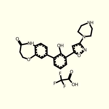 O=C(O)C(F)(F)F.O=C1CCOc2cc(-c3cccc(-c4cc(N5CCNCC5)no4)c3O)ccc2N1